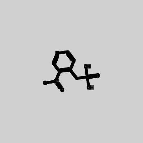 O=[N+]([O-])c1cnccc1CP(=O)(O)O